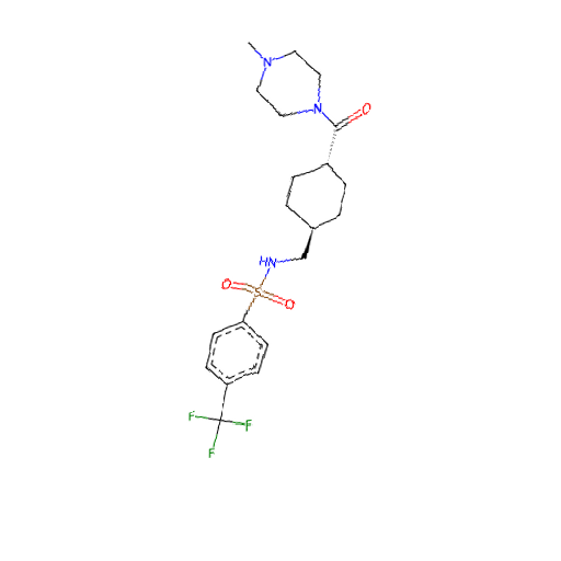 CN1CCN(C(=O)[C@H]2CC[C@H](CNS(=O)(=O)c3ccc(C(F)(F)F)cc3)CC2)CC1